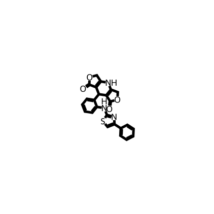 O=C1OCC2=C1C(c1ccccc1Nc1nc(-c3ccccc3)cs1)C1=C(COC1=O)N2